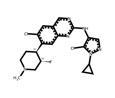 CN1CC[C@@H](c2cc3nc(Nc4cnn(C5CC5)c4Cl)ncc3cc2Cl)[C@H](F)C1